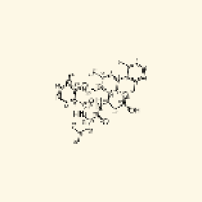 Cc1cccc(C)c1-c1cc(F)c(F)c(C(CC(=O)O)NC(=O)[C@H](CC(C)C)NC(=O)c2cncn(C)c2=O)c1